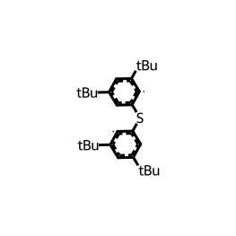 CC(C)(C)c1[c]c(Sc2[c]c(C(C)(C)C)cc(C(C)(C)C)c2)cc(C(C)(C)C)c1